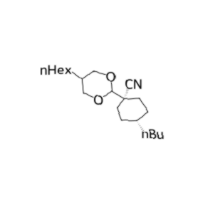 CCCCCCC1COC([C@]2(C#N)CC[C@@H](CCCC)CC2)OC1